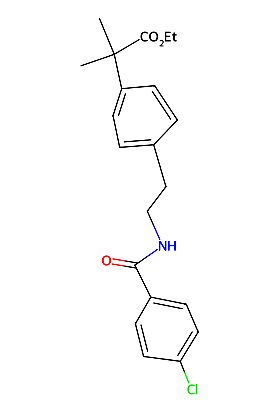 CCOC(=O)C(C)(C)c1ccc(CCNC(=O)c2ccc(Cl)cc2)cc1